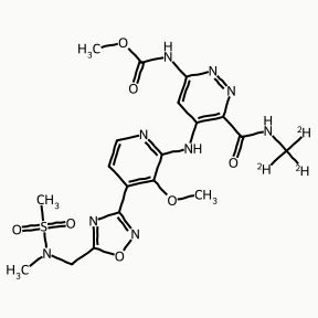 [2H]C([2H])([2H])NC(=O)c1nnc(NC(=O)OC)cc1Nc1nccc(-c2noc(CN(C)S(C)(=O)=O)n2)c1OC